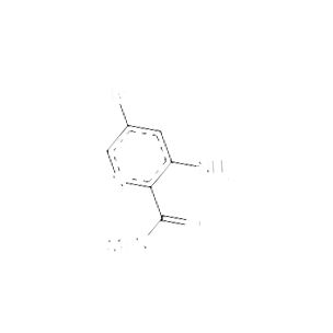 CNC(=O)c1ncc(Br)cc1N